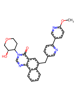 COc1ccc(-c2ccc(Cc3cc4c(=O)n(C5CCOC[C@@H]5O)cnc4c4ccccc34)cn2)cn1